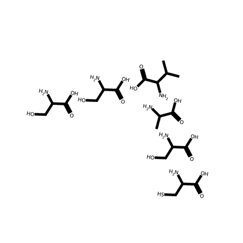 CC(C)C(N)C(=O)O.CC(N)C(=O)O.NC(CO)C(=O)O.NC(CO)C(=O)O.NC(CO)C(=O)O.NC(CS)C(=O)O